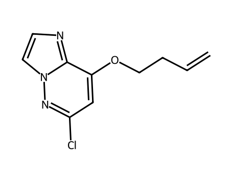 C=CCCOc1cc(Cl)nn2ccnc12